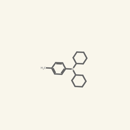 Cc1ccc(N(C2CCCCC2)C2CCCCC2)cc1